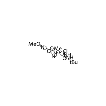 COCCN1CCC(COc2cc3nccc(Oc4ccc(NC(=O)NCCC(C)(C)C)c(Cl)c4)c3cc2OC)CC1